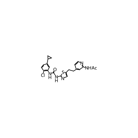 CC(=O)Nc1cc(CCc2cnc(NC(=O)Nc3cc(C4CC4)ccc3Cl)s2)ccn1